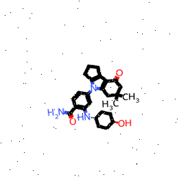 CC1(C)CC(=O)c2c3c(n(-c4ccc(C(N)=O)c(N[C@H]5CC[C@H](O)CC5)c4)c2C1)CCC3